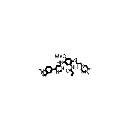 C=CC(=O)Nc1cc(Nc2cc(-c3ccc4c(cnn4C)c3)ncn2)c(OC)cc1N(C)CCN1C[C@@H](C)N(C)[C@@H](C)C1